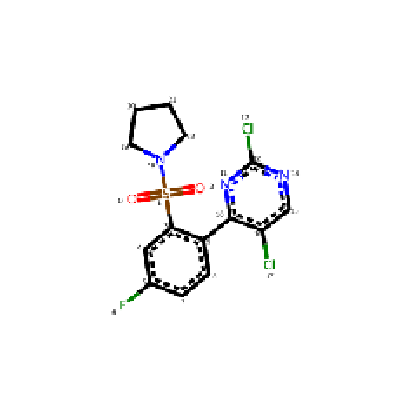 O=S(=O)(c1cc(F)ccc1-c1nc(Cl)ncc1Cl)N1CCCC1